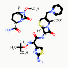 CC(C)(O/N=C(/C(=O)N[C@@H]1C(=O)N2C(C(=O)[O-])=C(C[n+]3ccccc3)CS[C@H]12)c1csc(N)n1)C(=O)O.NC(=O)[C@@H]1CC[C@@H]2CN1C(=O)N2OS(=O)(=O)O